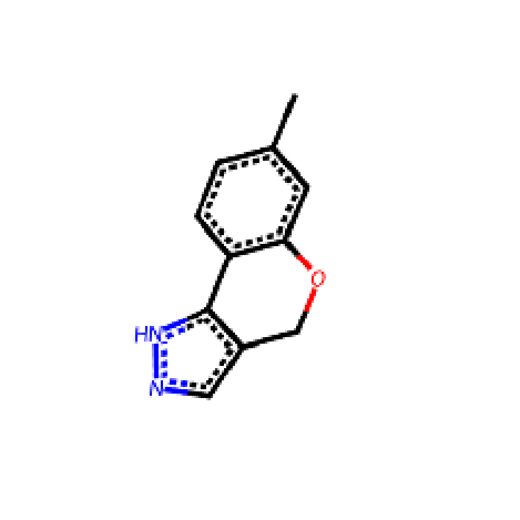 Cc1ccc2c(c1)OCc1cn[nH]c1-2